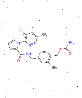 CC(C)(C)c1cc(CNC(=O)c2cccn2-c2ncc(C(F)(F)F)cc2Cl)ccc1COC(N)=O